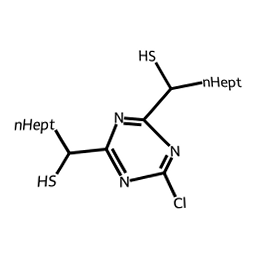 CCCCCCCC(S)c1nc(Cl)nc(C(S)CCCCCCC)n1